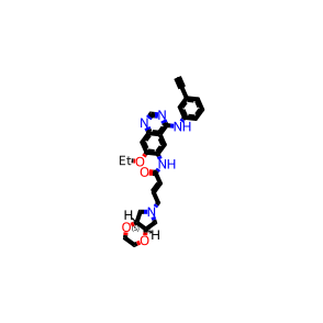 C#Cc1cccc(Nc2ncnc3cc(OCC)c(NC(=O)C=CCN4C[C@@H]5OCCO[C@@H]5C4)cc23)c1